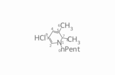 CCCCCN1C=CC=C(C)C1C.Cl